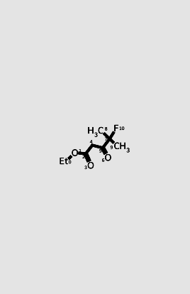 CCOC(=O)CC(=O)C(C)(C)F